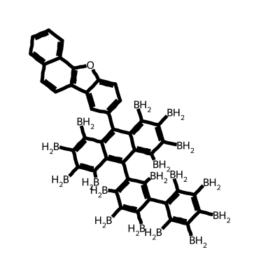 Bc1c(B)c(B)c(-c2c(B)c(B)c(B)c(-c3c4c(B)c(B)c(B)c(B)c4c(-c4ccc5oc6c7ccccc7ccc6c5c4)c4c(B)c(B)c(B)c(B)c34)c2B)c(B)c1B